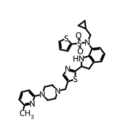 Cc1cccc(N2CCN(Cc3cnc(C4Cc5cccc(N(CC6CC6)S(=O)(=O)c6cccs6)c5N4)s3)CC2)n1